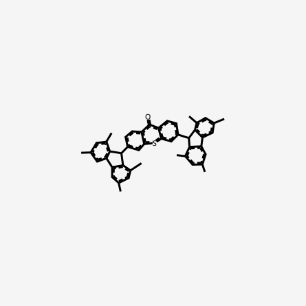 Cc1cc(C)c2c(c1)-c1cc(C)cc(C)c1C2c1ccc2c(=O)c3ccc(C4c5c(C)cc(C)cc5-c5cc(C)cc(C)c54)cc3sc2c1